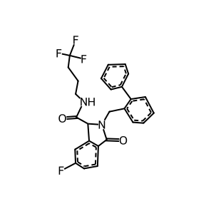 O=C(NCCCC(F)(F)F)C1c2cc(F)ccc2C(=O)N1Cc1ccccc1-c1ccccc1